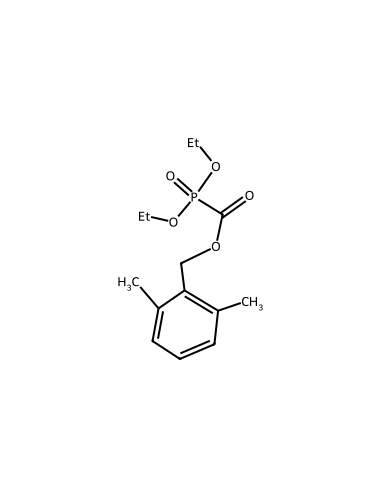 CCOP(=O)(OCC)C(=O)OCc1c(C)cccc1C